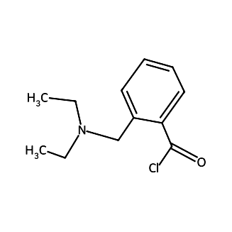 CCN(CC)Cc1ccccc1C(=O)Cl